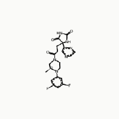 C[C@H]1CN(C(=O)CCC2(c3cnccn3)NC(=O)NC2=O)CCN1c1cc(F)cc(F)c1